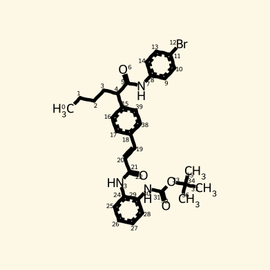 CCCCC(C(=O)Nc1ccc(Br)cc1)c1ccc(/C=C/C(=O)Nc2ccccc2NC(=O)OC(C)(C)C)cc1